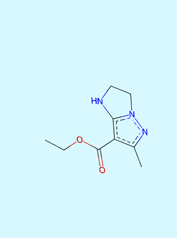 CCOC(=O)c1c(C)nn2c1NCC2